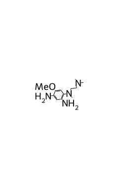 COc1cc(N(C)CCN(C)C)c(N)cc1N